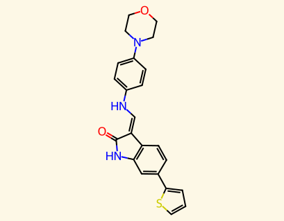 O=C1Nc2cc(-c3cccs3)ccc2C1=CNc1ccc(N2CCOCC2)cc1